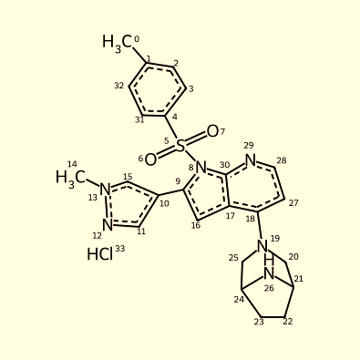 Cc1ccc(S(=O)(=O)n2c(-c3cnn(C)c3)cc3c(N4CC5CCC(C4)N5)ccnc32)cc1.Cl